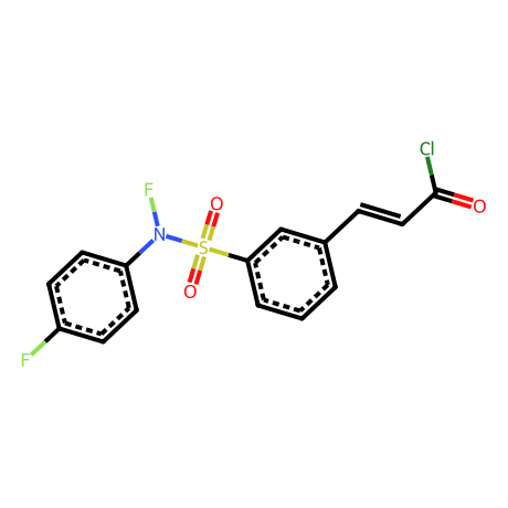 O=C(Cl)C=Cc1cccc(S(=O)(=O)N(F)c2ccc(F)cc2)c1